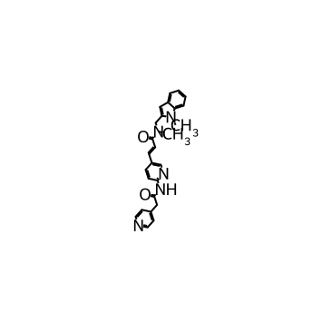 CN(Cc1cc2ccccc2n1C)C(=O)/C=C/c1ccc(NC(=O)Cc2ccncc2)nc1